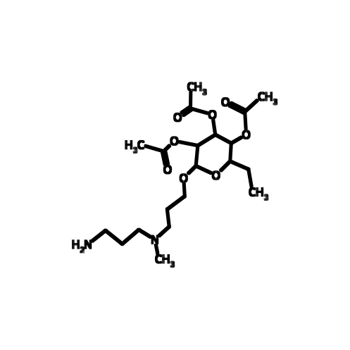 CCC1OC(OCCCN(C)CCCN)C(OC(C)=O)C(OC(C)=O)C1OC(C)=O